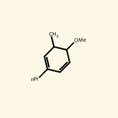 CCCC1=CC(C)C(OC)C=C1